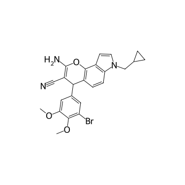 COc1cc(C2C(C#N)=C(N)Oc3c2ccc2c3ccn2CC2CC2)cc(Br)c1OC